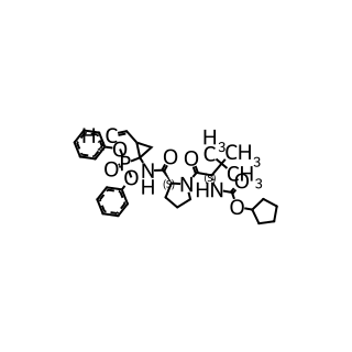 C=CC1CC1(NC(=O)[C@@H]1CCCN1C(=O)[C@@H](NC(=O)OC1CCCC1)C(C)(C)C)P(=O)(Oc1ccccc1)Oc1ccccc1